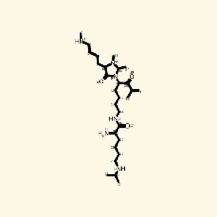 CNCCCCC1C(=O)N(C(CCCCNC(=O)C(N)CCCCNC(C)C)C(=O)C(C)C)C(C)N1C